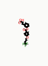 O=C(O)/C=C/c1cccc(OC(=O)c2ccc(OCCCC(F)(F)F)cc2)c1